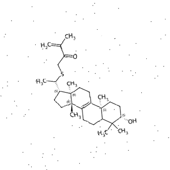 C=C(C)C(=O)CSC(C)[C@H]1CC[C@@]2(C)C3=C(CC[C@]12C)[C@@]1(C)CC[C@H](O)C(C)(C)C1CC3